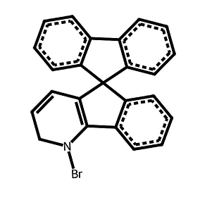 BrN1CC=CC2=C1c1ccccc1C21c2ccccc2-c2ccccc21